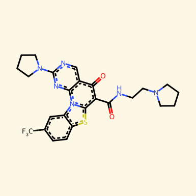 O=C(NCCN1CCCC1)c1c(=O)c2cnc(N3CCCC3)nc2n2c1sc1ccc(C(F)(F)F)cc12